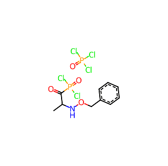 CC(NOCc1ccccc1)C(=O)P(=O)(Cl)Cl.O=P(Cl)(Cl)Cl